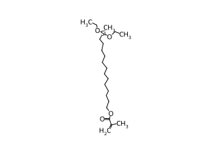 C=C(C)C(=O)OCCCCCCCCCCCCC[Si](C)(OCC)OCC